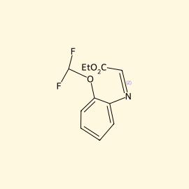 CCOC(=O)/C=N\c1ccccc1OC(F)F